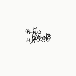 Cc1c(NC(=O)c2nccs2)cccc1-c1ccc(C(N)=O)c2[nH]c(-c3ccccc3CNCCCN3CCCCC3)cc12